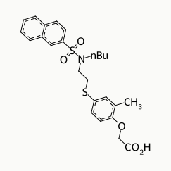 CCCCN(CCSc1ccc(OCC(=O)O)c(C)c1)S(=O)(=O)c1ccc2ccccc2c1